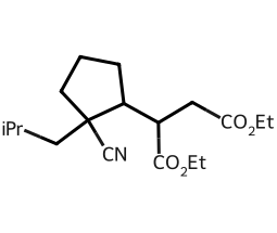 CCOC(=O)CC(C(=O)OCC)C1CCCC1(C#N)CC(C)C